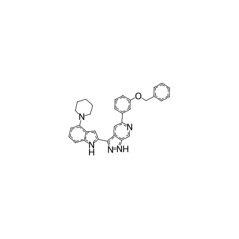 c1ccc(COc2cccc(-c3cc4c(-c5cc6c(N7CCCCC7)cccc6[nH]5)n[nH]c4cn3)c2)cc1